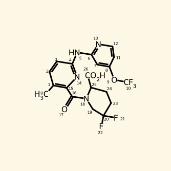 Cc1ccc(Nc2cc(OC(F)(F)F)ccn2)nc1C(=O)N1CC(F)(F)CCC1C(=O)O